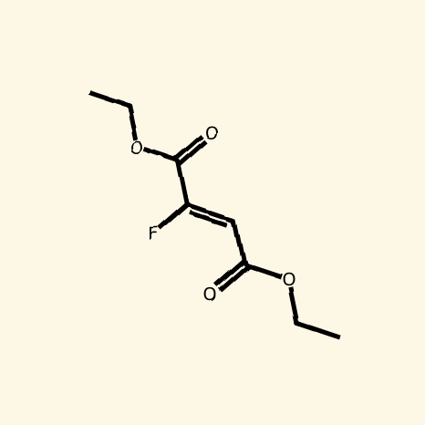 CCOC(=O)C=C(F)C(=O)OCC